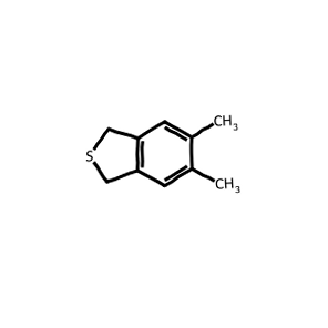 Cc1cc2c(cc1C)CSC2